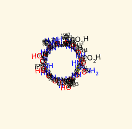 CCCC[C@H]1C(=O)N(C)[C@@H](CCCC)C(=O)N[C@@H](CCC(=O)O)C(=O)N[C@H](C(=O)NCC(N)=O)CSCC(=O)N[C@@H](Cc2ccc(O)cc2)C(=O)N(C)[C@@H](C)C(=O)NC(CC(=O)O)C(=O)N2CCC[C@H]2C(=O)N[C@@H](CO)C(=O)N[C@@H](CC(C)C)C(=O)N2C[C@H](O)C[C@H]2C(=O)N[C@@H](Cc2c[nH]c3ccccc23)C(=O)N[C@@H](CCN)C(=O)N[C@@H](Cc2cn(CC(=O)O)c3ccccc23)C(=O)N1C